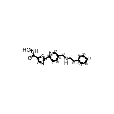 O=C(NO)c1cnc(-c2ccc(CNCCc3ccccc3)cn2)s1